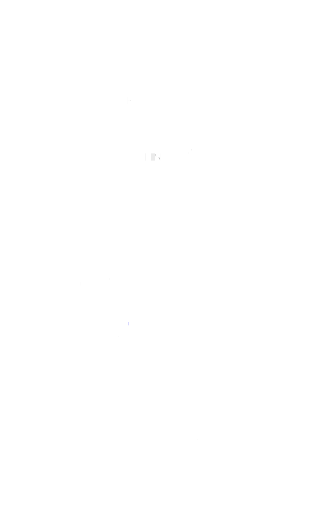 O=C(/C=C/c1ccc(Cl)cc1)c1ccc(NC(=O)c2ccccc2C(=O)O)cc1